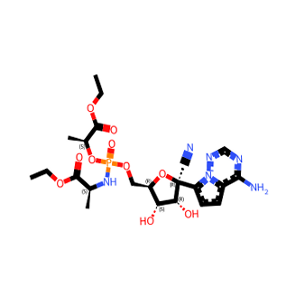 CCOC(=O)[C@H](C)NP(=O)(OC[C@H]1O[C@@](C#N)(c2ccc3c(N)ncnn23)[C@H](O)[C@@H]1O)O[C@@H](C)C(=O)OCC